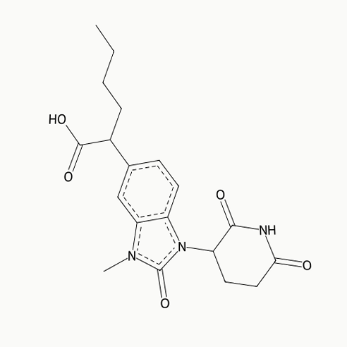 CCCCC(C(=O)O)c1ccc2c(c1)n(C)c(=O)n2C1CCC(=O)NC1=O